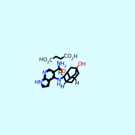 NC(=O)c1cnc2[nH]ccc2c1N[C@H]1C2C[C@H]3C[C@H]1C[C@](O)(C2)C3.O=C(O)CCC(=O)O